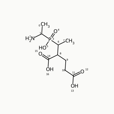 CC(N)P(=O)(O)C(C)C(CCC(=O)O)C(=O)O